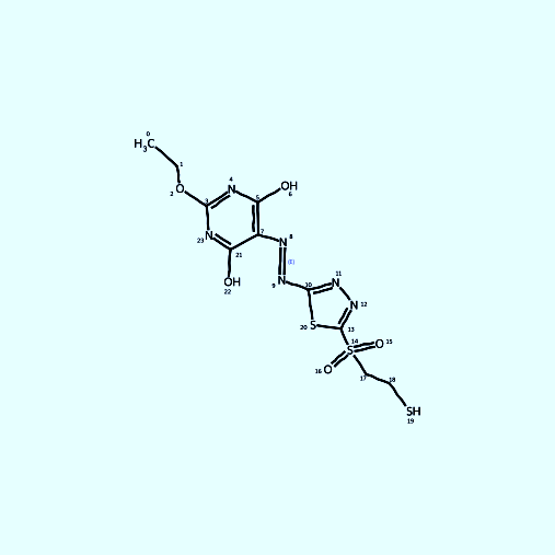 CCOc1nc(O)c(/N=N/c2nnc(S(=O)(=O)CCS)s2)c(O)n1